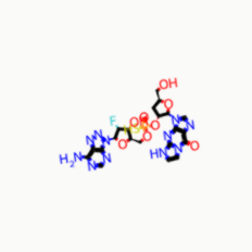 Nc1ncnc2c1nnn2[C@@H]1O[C@H](COP(=O)(S)O[C@@H]2C[C@@H](CO)O[C@H]2n2cnc3c(=O)n4cc[nH]c4nc32)[C@@H](O)[C@@H]1F